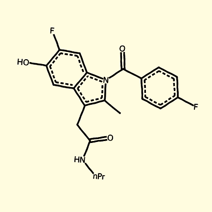 CCCNC(=O)Cc1c(C)n(C(=O)c2ccc(F)cc2)c2cc(F)c(O)cc12